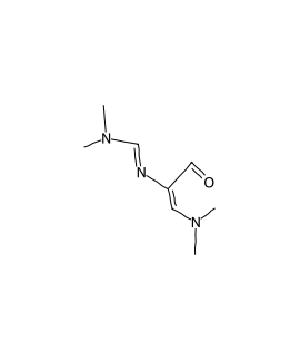 CN(C)C=NC(C=O)=CN(C)C